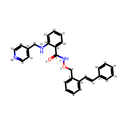 O=C(NOCc1ccccc1C=Cc1ccccc1)c1ccccc1NCc1ccncc1